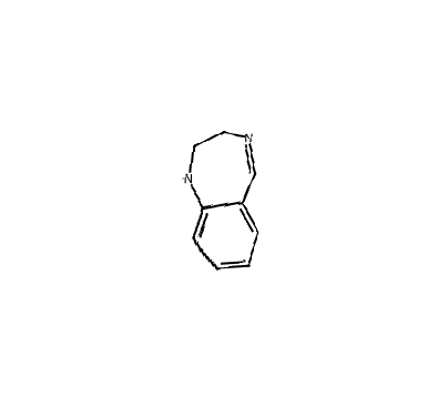 C1=NCC[N]c2ccccc21